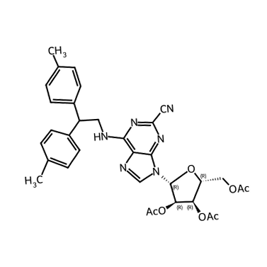 CC(=O)OC[C@H]1O[C@@H](n2cnc3c(NCC(c4ccc(C)cc4)c4ccc(C)cc4)nc(C#N)nc32)[C@H](OC(C)=O)[C@@H]1OC(C)=O